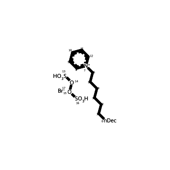 CCCCCCCCCCCCCCCC[n+]1ccccc1.O=S(=O)(O)OOS(=O)(=O)O.[Br-]